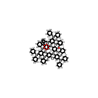 Fc1cccc(F)c1N1c2cc3c(cc2B2c4cc5c(cc4Oc4cc(N(c6ccccc6)c6ccccc6)cc1c42)N(c1c(F)cccc1F)c1cc(N(c2ccccc2)c2ccccc2)cc2c1B5c1cccc4c5ccccc5n-2c14)B1c2c(cc(N(c4ccccc4)c4ccccc4)cc2-n2c4ccccc4c4cccc1c42)N3c1c(F)cccc1F